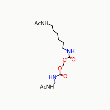 CC(=O)NCCCCCCNC(=O)OCOC(=O)NCNC(C)=O